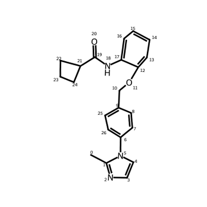 Cc1nccn1-c1ccc(COc2ccccc2NC(=O)C2CCC2)cc1